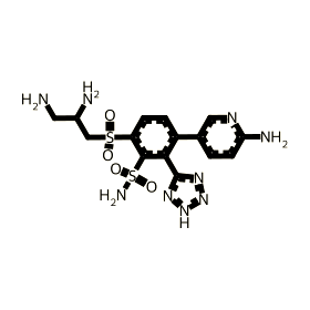 NCC(N)CS(=O)(=O)c1ccc(-c2ccc(N)nc2)c(-c2nn[nH]n2)c1S(N)(=O)=O